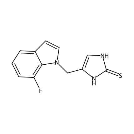 Fc1cccc2ccn(Cc3c[nH]c(=S)[nH]3)c12